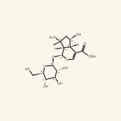 COC(=O)C1=CO[C@@H](O[C@@H]2O[C@H](CO)[C@@H](O)[C@H](O)[C@H]2O)[C@H]2[C@@H]1[C@H](O)C[C@]2(C)OC(C)=O